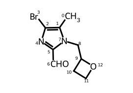 Cc1c(Br)nc(C=O)n1CC1CCO1